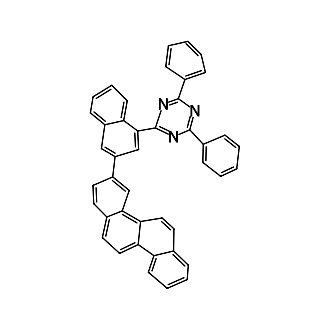 c1ccc(-c2nc(-c3ccccc3)nc(-c3cc(-c4ccc5ccc6c7ccccc7ccc6c5c4)cc4ccccc34)n2)cc1